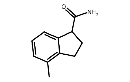 Cc1cccc2c1CCC2C(N)=O